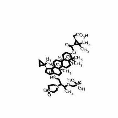 CC(OCP(=O)(O)O)C(CN[C@]12CC[C@@H](C3(C)CC3)[C@@H]1[C@H]1CC[C@@H]3[C@@]4(C)CC[C@H](OC(=O)[C@H]5[C@@H](CC(=O)O)C5(C)C)C(C)(C)[C@@H]4CC[C@@]3(C)[C@]1(C)CC2)N1CCS(=O)(=O)CC1